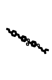 CCCC1CCC(CCc2ccc(OC(=O)c3ccc(OCCCC(C)CC)cc3)cc2)CC1